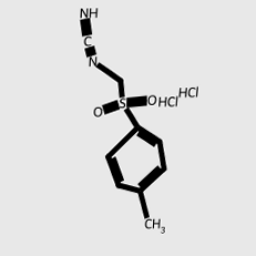 Cc1ccc(S(=O)(=O)CN=C=N)cc1.Cl.Cl